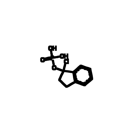 O=P(O)(O)OC1(Cl)CCc2ccccc21